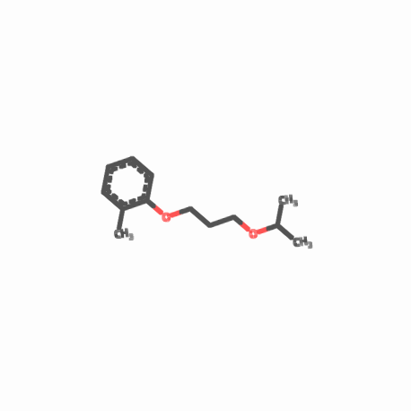 Cc1ccccc1OCCCOC(C)C